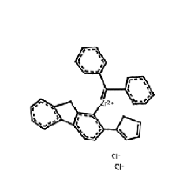 C1=CCC(c2ccc3c([c]2[Zr+2]=[C](c2ccccc2)c2ccccc2)Cc2ccccc2-3)=C1.[Cl-].[Cl-]